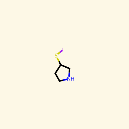 ISC1CCNC1